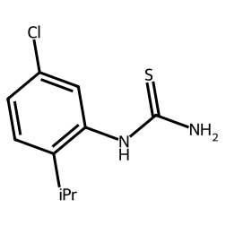 CC(C)c1ccc(Cl)cc1NC(N)=S